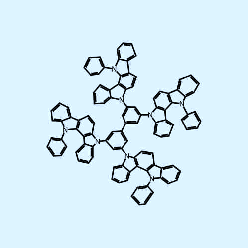 c1ccc(-n2c3ccccc3c3ccc4c(c5ccccc5n4-c4cc(-c5cc(-n6c7ccccc7c7c6ccc6c8ccccc8n(-c8ccccc8)c67)cc(-n6c7ccccc7c7c6ccc6c8ccccc8n(-c8ccccc8)c67)c5)cc(-n5c6ccccc6c6c5ccc5c7ccccc7n(-c7ccccc7)c56)c4)c32)cc1